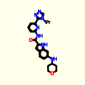 CC(C)n1cnnc1-c1cccc(NC(=O)c2cc3ccc(NC4CCOCC4)cc3[nH]2)n1